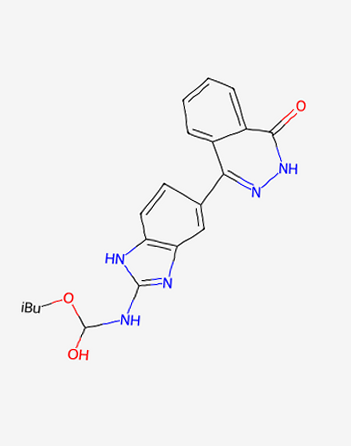 CCC(C)OC(O)Nc1nc2cc(-c3n[nH]c(=O)c4ccccc34)ccc2[nH]1